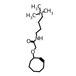 C[N+](C)(C)C[CH]CCNC(=O)COC1C#CCCCCC1